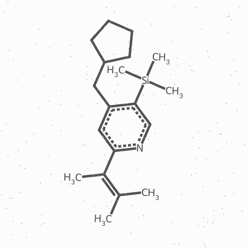 CC(C)=C(C)c1cc(CC2CCCC2)c([Si](C)(C)C)cn1